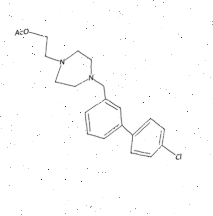 CC(=O)OCCN1CCN(Cc2cccc(-c3ccc(Cl)cc3)c2)CC1